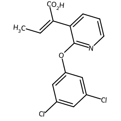 CC=C(C(=O)O)c1cccnc1Oc1cc(Cl)cc(Cl)c1